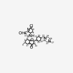 Cc1cc(C(C)Nc2ccc(Cl)nc2C=O)c2oc(-c3ccc(CN4CCN(C)CC4)cc3)c(C)c(=O)c2c1